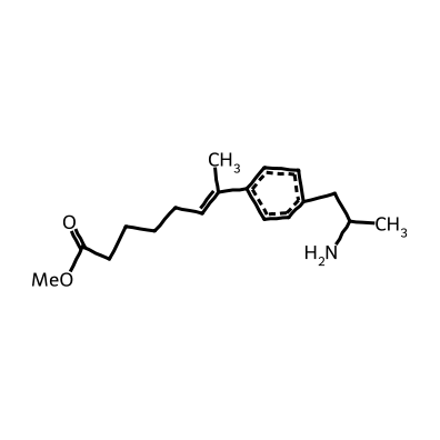 COC(=O)CCCCC=C(C)c1ccc(CC(C)N)cc1